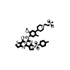 COc1cc(C2CCN(CCS(C)(=O)=O)CC2)c(C)cc1Nc1nc2c(ccn2S(=O)(=O)c2ccc(C)cc2)c2nc3ccsc3c(=O)n12